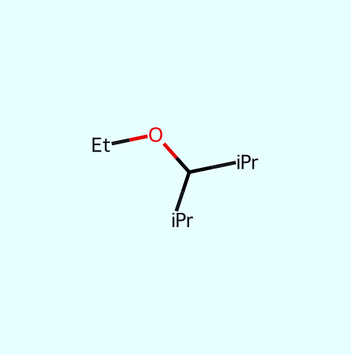 CCOC(C(C)C)C(C)C